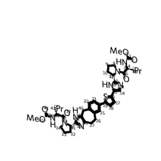 COC(=O)N[C@H](C(=O)N1CCC[C@H]1c1ncc(-c2ccc(-c3ccc4c(c3)CCc3nc([C@@H]5CCCN5C(=O)[C@@H](NC(=O)OC)C(C)C)[nH]c3C4)s2)[nH]1)C(C)C